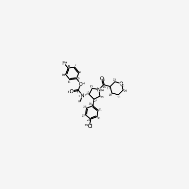 CN(C(=O)Oc1ccc(F)cc1)[C@@H]1CN(C(=O)C2CCCOC2)C[C@H]1c1ccc(Cl)cc1